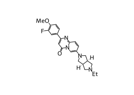 CCN1C[C@@H]2CN(c3ccc4nc(-c5ccc(OC)c(F)c5)cc(=O)n4c3)C[C@@H]2C1